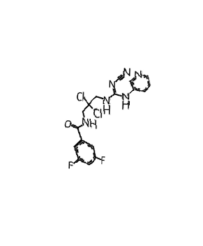 N#CN=C(NCC(Cl)(Cl)CNC(=O)c1cc(F)cc(F)c1)Nc1cccnc1